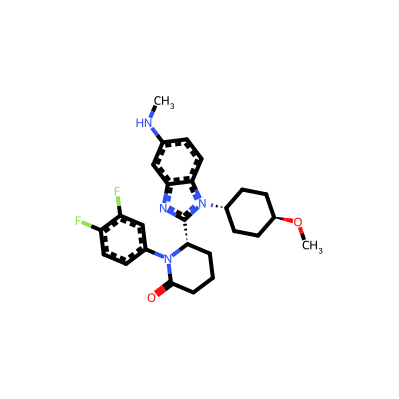 CNc1ccc2c(c1)nc([C@@H]1CCCC(=O)N1c1ccc(F)c(F)c1)n2[C@H]1CC[C@H](OC)CC1